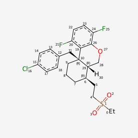 CCS(=O)(=O)CC[C@H]1CCC[C@]2(Cc3ccc(Cl)cc3)c3c(F)ccc(F)c3OC[C@H]12